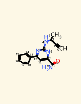 C#CC(C)Nc1nc(C(N)=O)cc(-c2ccccc2)n1